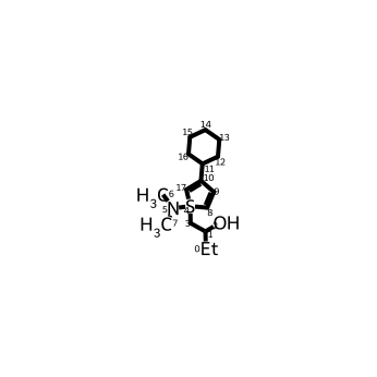 CCC(O)CS1(N(C)C)C=CC(C2CCCCC2)=C1